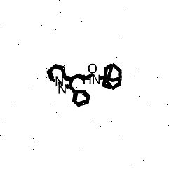 O=C(C=Cc1c(-c2ccccc2)nn2ccccc12)NC12CC3CC(CC(C3)C1)C2